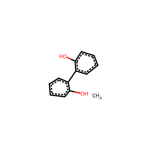 C.Oc1ccccc1-c1ccccc1O